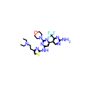 CCN(CC)CCc1csc(Nc2cc(-c3cnc(N)nc3C(F)(F)F)nc(N3CCOCC3)n2)n1